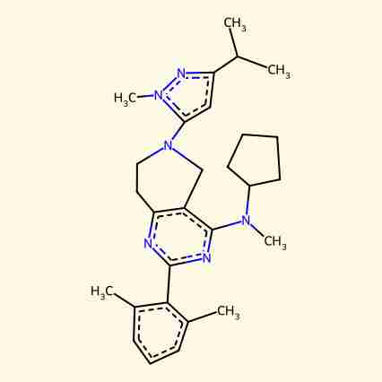 Cc1cccc(C)c1-c1nc2c(c(N(C)C3CCCC3)n1)CN(c1cc(C(C)C)nn1C)CC2